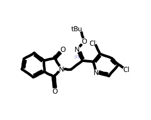 CC(C)(C)O/N=C(/CN1C(=O)c2ccccc2C1=O)c1ncc(Cl)cc1Cl